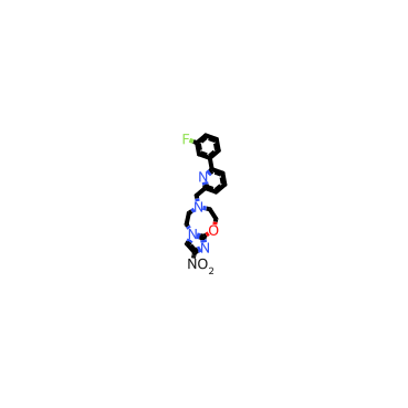 O=[N+]([O-])c1cn2c(n1)OCCN(Cc1cccc(-c3cccc(F)c3)n1)CC2